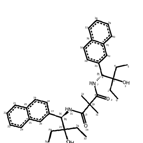 CCC(O)(CC)[C@H](NC(=O)C(C)(C)C(=O)N[C@H](c1ccc2ccccc2c1)C(O)(CC)CC)c1ccc2ccccc2c1